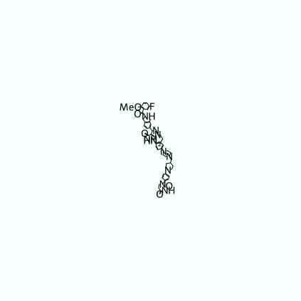 COc1ccc(F)cc1C(=O)NCc1ccc(-c2nn3c(c2C(N)=O)Nc2ccc(N4CCN(CC5CCN(c6ccc(N7CCC(=O)NC7=O)cc6)CC5)CC4)cc2CC3)cc1C